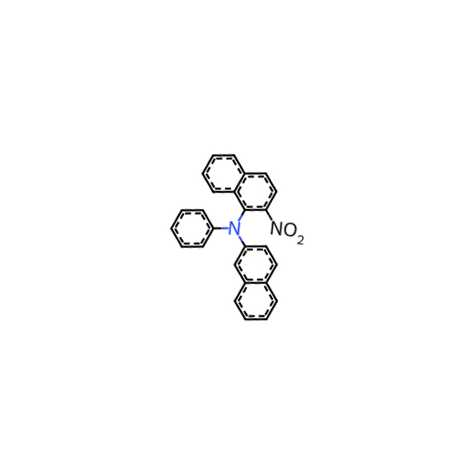 O=[N+]([O-])c1ccc2ccccc2c1N(c1ccccc1)c1ccc2ccccc2c1